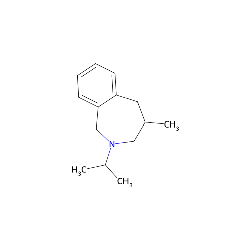 CC1Cc2ccccc2CN(C(C)C)C1